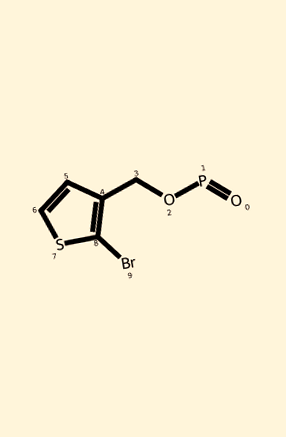 O=POCc1ccsc1Br